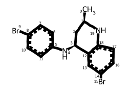 C[C@@H]1C[C@H](Nc2ccc(Br)cc2)c2cc(Br)ccc2N1